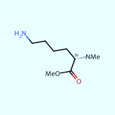 CN[C@@H](CCCCN)C(=O)OC